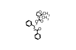 CC1(C)OCCN1C(=O)OC[C@H](SC(=O)c1ccccc1)c1ccccc1